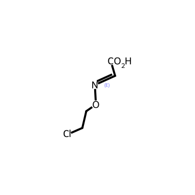 O=C(O)/C=N/OCCCl